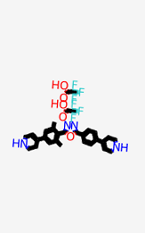 Cc1cc(C2=CCNCC2)cc(C)c1-c1nnc(-c2ccc(C3=CCNCC3)cc2)o1.O=C(O)C(F)(F)F.O=C(O)C(F)(F)F